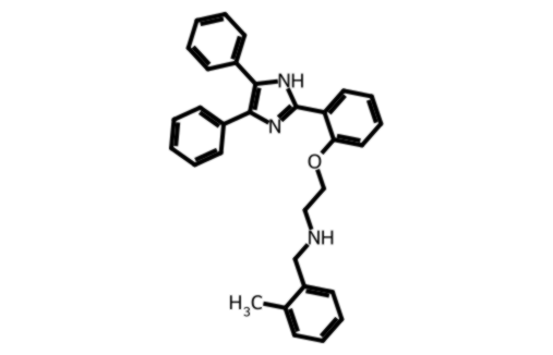 Cc1ccccc1CNCCOc1ccccc1-c1nc(-c2ccccc2)c(-c2ccccc2)[nH]1